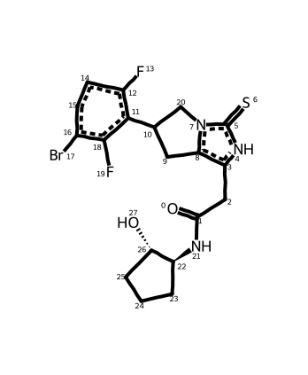 O=C(Cc1[nH]c(=S)n2c1CC(c1c(F)ccc(Br)c1F)C2)N[C@H]1CCC[C@@H]1O